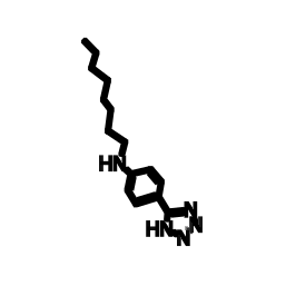 CCCCCCCCNc1ccc(-c2nnn[nH]2)cc1